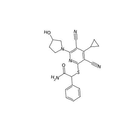 N#Cc1c(SC(C(N)=O)c2ccccc2)nc(N2CCC(O)C2)c(C#N)c1C1CC1